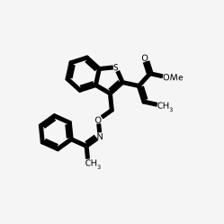 CC=C(C(=O)OC)c1sc2ccccc2c1CON=C(C)c1ccccc1